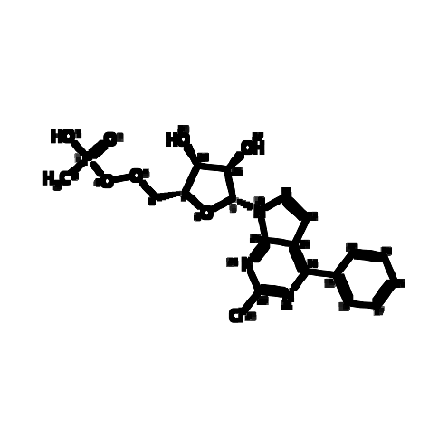 CP(=O)(O)OOC[C@H]1O[C@@H](n2ccc3c(-c4ccccc4)nc(Cl)nc32)[C@H](O)[C@@H]1O